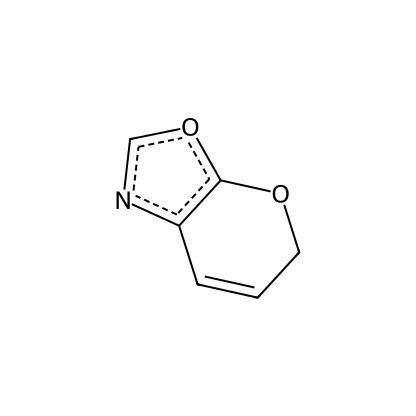 C1=Cc2ncoc2OC1